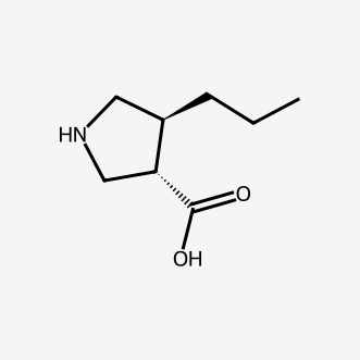 CCC[C@@H]1CNC[C@H]1C(=O)O